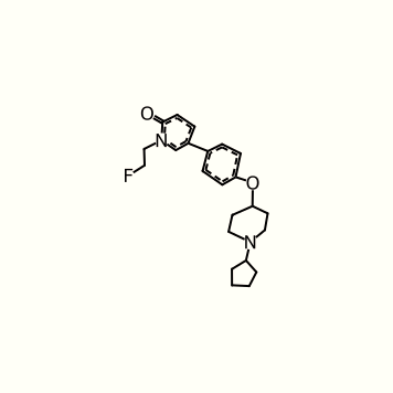 O=c1ccc(-c2ccc(OC3CCN(C4CCCC4)CC3)cc2)cn1CCF